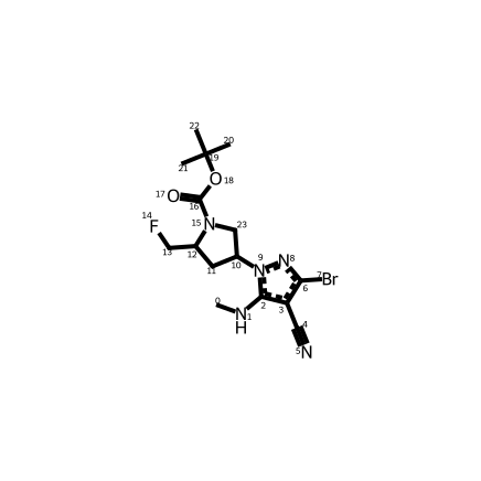 CNc1c(C#N)c(Br)nn1C1CC(CF)N(C(=O)OC(C)(C)C)C1